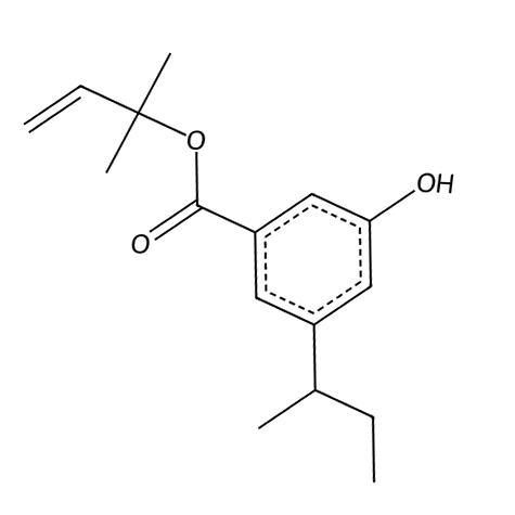 C=CC(C)(C)OC(=O)c1cc(O)cc(C(C)CC)c1